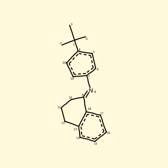 CC(C)(C)c1ccc(/N=C2\CCCc3ccccc32)cc1